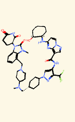 CN(C[C@H]1CC[C@H](n2cc(NC(=O)c3cnn4ccc(N[C@@H]5CCCC[C@@H]5O)nc34)c(C(F)F)n2)CC1)C1CCN(Cc2cccc3c2n(C)c(=O)n3C2CCC(=O)NC2=O)CC1